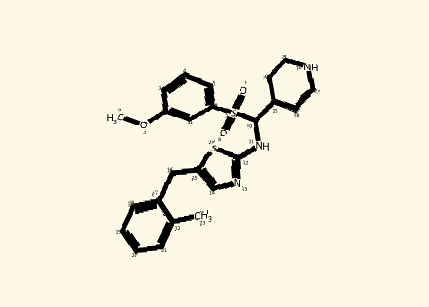 COc1cccc(S(=O)(=O)C(Nc2ncc(Cc3ccccc3C)s2)C2CCNCC2)c1